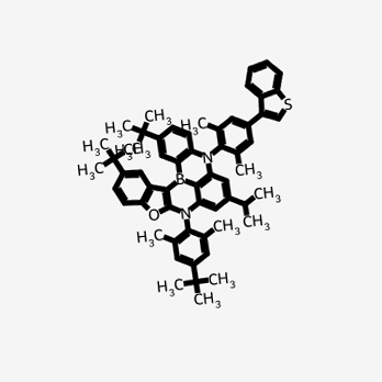 Cc1cc(-c2csc3ccccc23)cc(C)c1N1c2ccc(C(C)(C)C)cc2B2c3c1cc(C(C)C)cc3N(c1c(C)cc(C(C)(C)C)cc1C)c1oc3ccc(C(C)(C)C)cc3c12